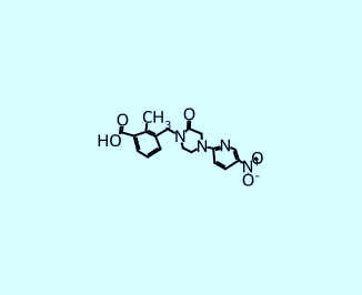 Cc1c(CN2CCN(c3ccc([N+](=O)[O-])cn3)CC2=O)cccc1C(=O)O